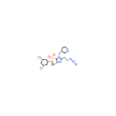 CC(C)c1nc(CCN=[N+]=[N-])n(Cc2cccnc2)c1S(=O)(=O)Oc1cc(Cl)cc(Cl)c1